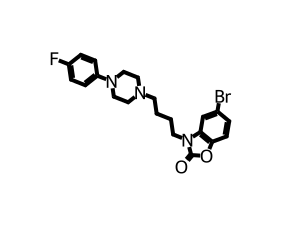 O=c1oc2ccc(Br)cc2n1CCCCN1CCN(c2ccc(F)cc2)CC1